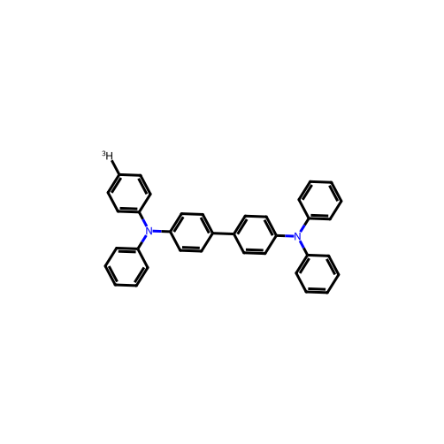 [3H]c1ccc(N(c2ccccc2)c2ccc(-c3ccc(N(c4ccccc4)c4ccccc4)cc3)cc2)cc1